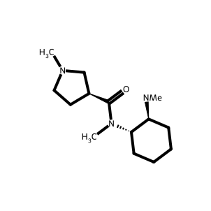 CN[C@H]1CCCC[C@@H]1N(C)C(=O)[C@H]1CCN(C)C1